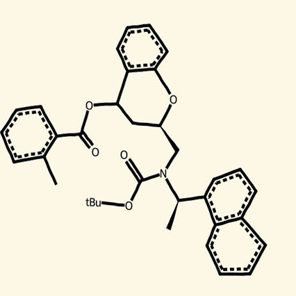 Cc1ccccc1C(=O)OC1C[C@H](CN(C(=O)OC(C)(C)C)[C@H](C)c2cccc3ccccc23)Oc2ccccc21